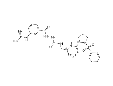 N=C(N)Nc1cccc(C(=O)NNC(=O)NC[C@@H](NC(=O)[C@@H]2CCCN2S(=O)(=O)c2ccccc2)C(=O)O)c1